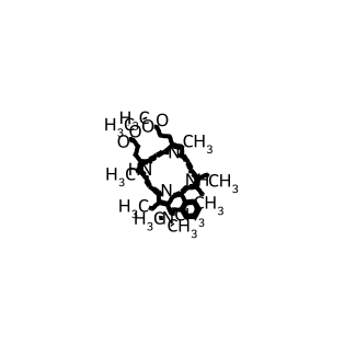 CCC1=C(CC)c2nc1cc1[nH]c(cc3nc(cc4[nH]c(c(CC)c4CC)c2-c2ccccc2CN(C)C)C(C)=C3CCC(=O)OC)c(CCC(=O)OC)c1C